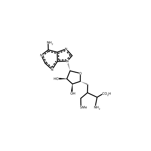 CSCC(C[C@H]1O[C@@H](n2cnc3c(N)ncnc32)[C@H](O)[C@@H]1O)C(N)C(=O)O